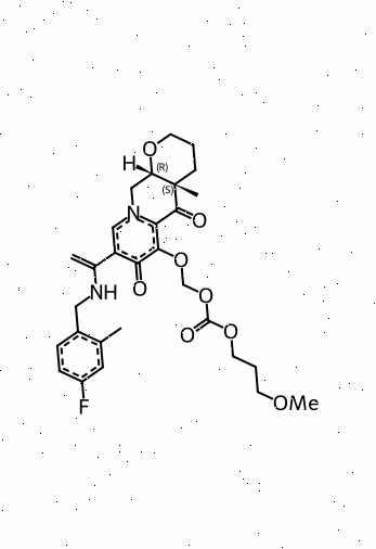 C=C(NCc1ccc(F)cc1C)c1cn2c(c(OCOC(=O)OCCCOC)c1=O)C(=O)[C@@]1(C)CCCO[C@H]1C2